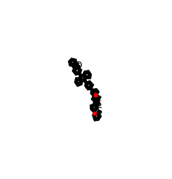 c1ccc2c(c1)oc1cc(-c3c4ccccc4c(-c4ccc(-c5ccc6cc7sc8c(ccc9c%10ccccc%10sc98)c7cc6c5)cc4)c4ccccc34)ccc12